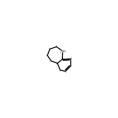 [C]1CCCC2CC=CC=C2N1